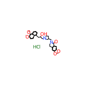 COc1ccc2c(CC(O)CN3CCC(CN4CCc5cc6c(cc5C4=O)OCO6)C3)cccc2c1OC.Cl